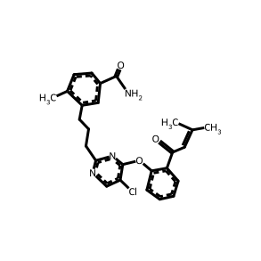 CC(C)=CC(=O)c1ccccc1Oc1nc(CCCc2cc(C(N)=O)ccc2C)ncc1Cl